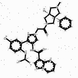 CN1C[C@@H]2CN(C(=O)Cn3cc(NC(=O)c4cnn5cccnc45)c(-c4cc(Cl)ccc4OC(F)F)n3)C[C@]2(c2ccccc2)C1